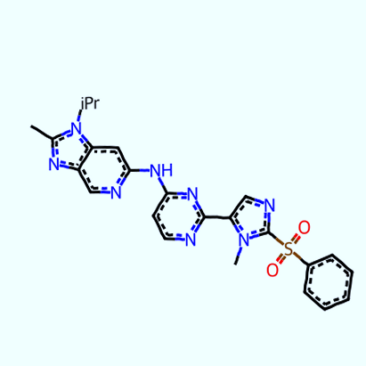 Cc1nc2cnc(Nc3ccnc(-c4cnc(S(=O)(=O)c5ccccc5)n4C)n3)cc2n1C(C)C